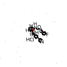 Cl.O=C(NC12C[C@@H]3C[C@@H](CC(NCC(=O)N4Cc5ccc(F)cc5C4)(C3)C1)C2)c1ccc(-c2ccncc2)cc1